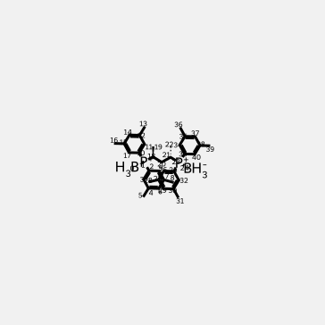 [BH3-][P+](c1cc(C)cc(C)c1)(c1cc(C)cc(C)c1)[C@@H](C)C[C@H](C)[P+]([BH3-])(c1cc(C)cc(C)c1)c1cc(C)cc(C)c1